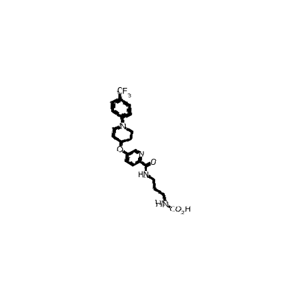 O=C(O)NCCCNC(=O)c1ccc(OC2CCN(c3ccc(C(F)(F)F)cc3)CC2)cn1